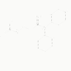 N=C(OONC(=O)S)N(C1CCCCC1)C1CCCCC1